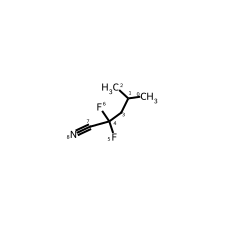 CC(C)CC(F)(F)C#N